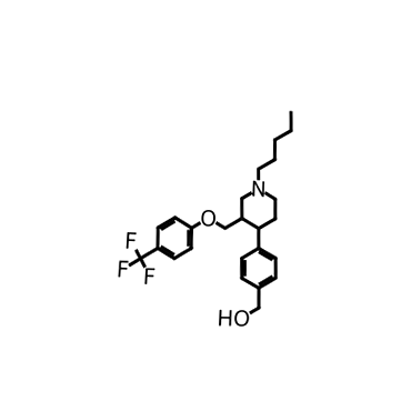 CCCCCN1CCC(c2ccc(CO)cc2)C(COc2ccc(C(F)(F)F)cc2)C1